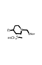 CCCCCCCCCCN1CCC(CC)CC1.CS(=O)(=O)O